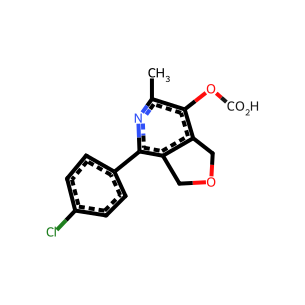 Cc1nc(-c2ccc(Cl)cc2)c2c(c1OC(=O)O)COC2